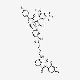 Cc1cc(C(F)(F)F)cc(N2C(=O)NC[C@H]2C(=O)N(CC#Cc2ccc(NC(=O)CCCCNc3cccc4c3C(=O)N(C3CCC(=O)NC3=O)C4=O)nn2)c2ccc(F)cc2)n1